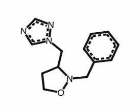 c1ccc(CN2OCCC2Cn2cncn2)cc1